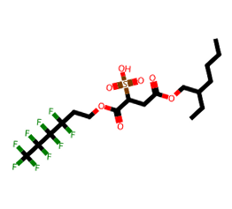 CCCCC(CC)COC(=O)CC(C(=O)OCCC(F)(F)C(F)(F)C(F)(F)C(F)(F)F)S(=O)(=O)O